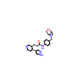 O=C(CCc1cnccc1-c1cn[nH]c1)Nc1ccc(CN2CC3CC2CO3)cc1